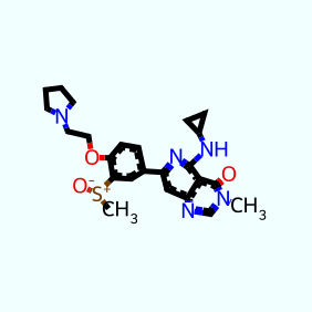 Cn1cnc2cc(-c3ccc(OCCN4CCCC4)c([S+](C)[O-])c3)nc(NC3CC3)c2c1=O